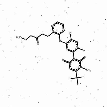 CCOC(=O)COc1ncccc1Oc1cc(-n2c(=O)cc(C(F)(F)F)n(C)c2=O)c(F)cc1Cl